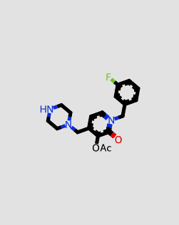 CC(=O)Oc1c(CN2CCNCC2)ccn(Cc2cccc(F)c2)c1=O